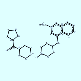 CCCCCCc1cc(OC2CCN(C[C@H]3CC[C@H](C(=O)N4CCCC4)CC3)CC2)c2ncccc2c1